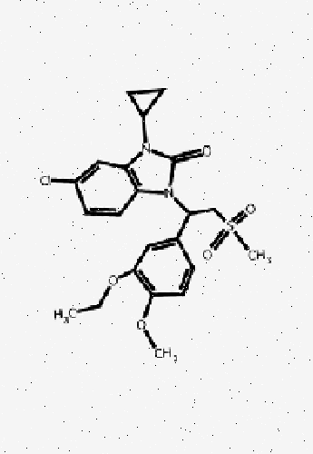 CCOc1cc(C(CS(C)(=O)=O)n2c(=O)n(C3CC3)c3cc(Cl)ccc32)ccc1OC